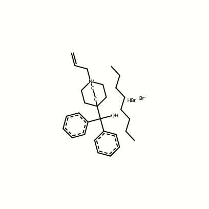 Br.C=CC[N+]12CCC(C(O)(c3ccccc3)c3ccccc3)(CC1)CC2.CCCCCCCC.[Br-]